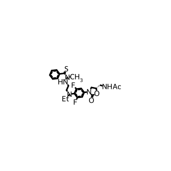 CCN(CCNN(C)C(=S)c1ccccc1)c1c(F)cc(N2C[C@H](CNC(C)=O)OC2=O)cc1F